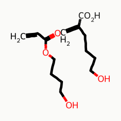 C=C(CCCCO)C(=O)O.C=CC(=O)OCCCCO